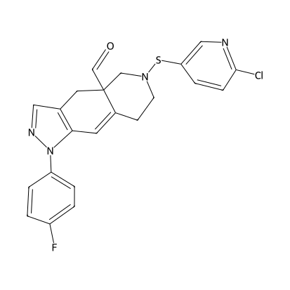 O=CC12Cc3cnn(-c4ccc(F)cc4)c3C=C1CCN(Sc1ccc(Cl)nc1)C2